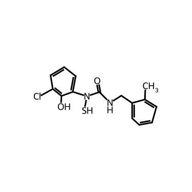 Cc1ccccc1CNC(=O)N(S)c1cccc(Cl)c1O